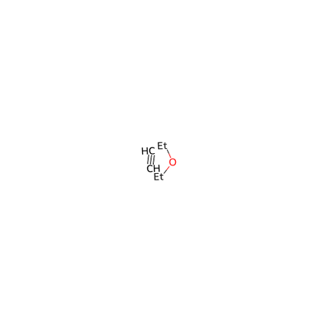 C#C.CCOCC